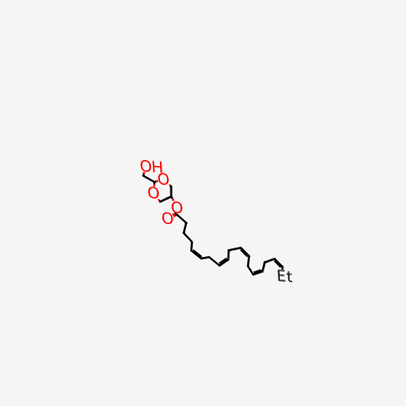 CC/C=C\C/C=C\C/C=C\C/C=C\C/C=C\CCCC(=O)OC1COC(CO)OC1